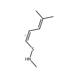 CNS/C=C\C=C(C)C